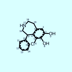 Oc1cc2c(c(Cl)c1O)C(c1ccccc1)CNCC2